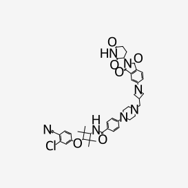 CC1(C)[C@H](NC(=O)c2ccc(N3CCN(CC4CN(c5ccc6c(c5)C(=O)N(C5CCC(=O)NC5=O)C6=O)C4)CC3)cc2)C(C)(C)[C@H]1Oc1ccc(C#N)c(Cl)c1